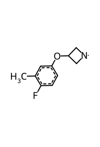 Cc1cc(OC2C[N]C2)ccc1F